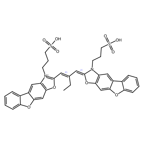 CCC(/C=C1\Oc2cc3oc4ccccc4c3cc2N1CCCS(=O)(=O)O)=C\c1oc2cc3oc4ccccc4c3cc2[n+]1CCCS(=O)(=O)O